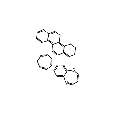 C1=CC=CCC=C1.C1=CSc2ccccc2N=C1.C1=c2ccc3c(c2CCC1)CC=c1ccccc1=3